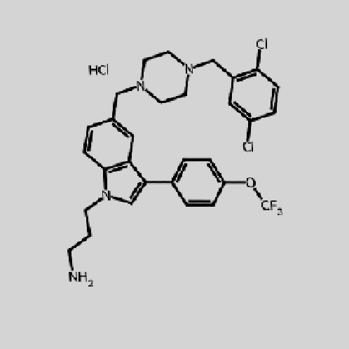 Cl.NCCCn1cc(-c2ccc(OC(F)(F)F)cc2)c2cc(CN3CCN(Cc4cc(Cl)ccc4Cl)CC3)ccc21